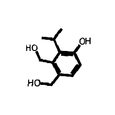 CC(C)c1c(O)ccc(CO)c1CO